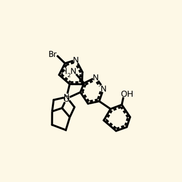 Nc1nnc(-c2ccccc2O)cc1OC1C2CCC1CN(c1ccnc(Br)c1)C2